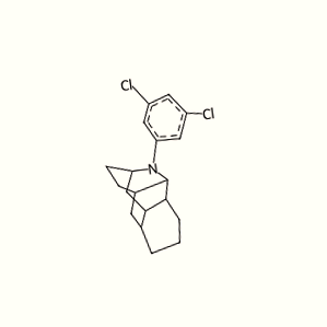 Clc1cc(Cl)cc(N2C3CCC4CC5CCCC(C5C3)C42)c1